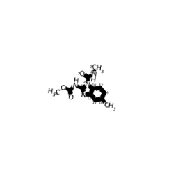 CNC(=O)n1c(NC(=O)OC)nc2cc(C)ccc21